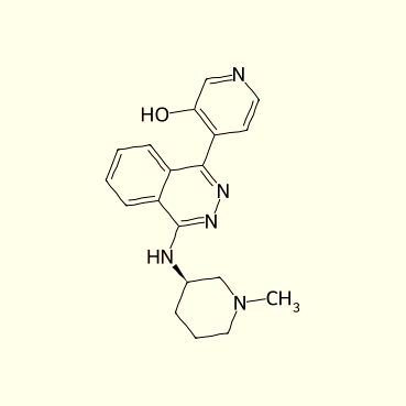 CN1CCC[C@@H](Nc2nnc(-c3ccncc3O)c3ccccc23)C1